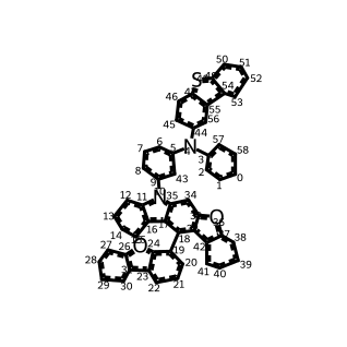 c1ccc(N(c2cccc(-n3c4ccccc4c4c(-c5cccc6c5oc5ccccc56)c5c(cc43)oc3ccccc35)c2)c2ccc3sc4ccccc4c3c2)cc1